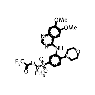 COc1cc2ncnc(Nc3cc(S(=O)(=O)N(C)OC(=O)C(F)(F)F)ccc3N3CCOCC3)c2cc1OC